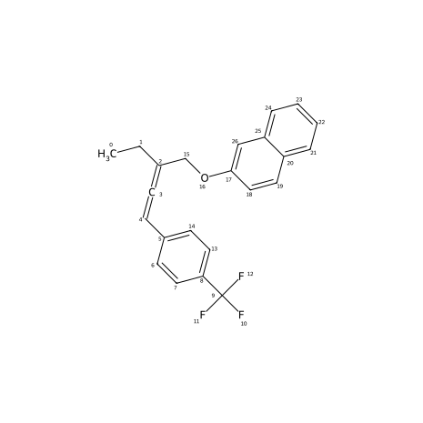 CCC(=C=Cc1ccc(C(F)(F)F)cc1)COc1ccc2ccccc2c1